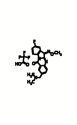 CO/N=C1/c2cc(F)ccc2-n2c1nc1ccc(CN(C)C)cc1c2=O.O=C(O)C(F)(F)F